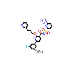 CC(C)COc1cc(F)cc(-c2ccc(C(=O)NS(=O)(=O)c3cccc(N)n3)c(OCCCc3cccnc3)n2)c1